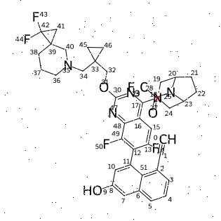 C#Cc1cccc2cc(O)cc(-c3c(F)cc4c(N5CC6CCC(C5)N6C(=O)C(F)(F)F)nc(OCC5(CN6CCCC7(C6)CC7(F)F)CC5)nc4c3F)c12